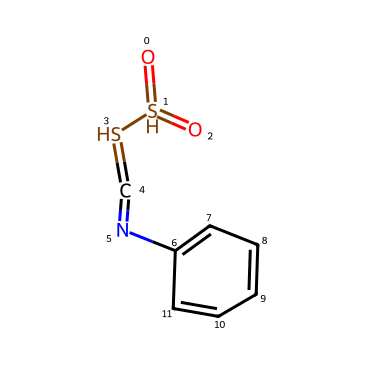 O=[SH](=O)[SH]=C=Nc1ccccc1